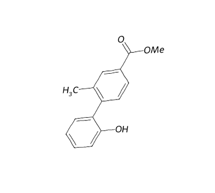 COC(=O)c1ccc(-c2ccccc2O)c(C)c1